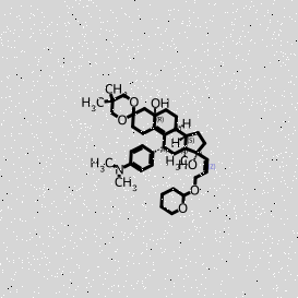 CN(C)c1ccc([C@H]2C[C@@]3(C)[C@@H](CC[C@@]3(O)/C=C\COC3CCCCO3)[C@@H]3CC[C@@]4(O)CC5(CCC4=C32)OCC(C)(C)CO5)cc1